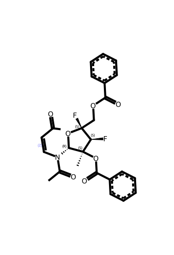 CC(=O)/C=C\N(C(C)=O)[C@@H]1O[C@](F)(COC(=O)c2ccccc2)[C@@H](F)[C@@]1(C)OC(=O)c1ccccc1